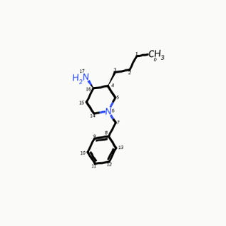 CCCC[C@H]1CN(Cc2ccccc2)CC[C@H]1N